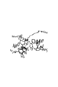 CCCCCCCCCCCCCCCCCN(C[C@H]1O[C@@H](n2cnc3c(=O)[nH]c(N)nc32)C(OC)C1OP(=O)(OC)OC)C(=O)CC1C(OC)[C@H](n2ccc(N)nc2=O)O[C@@H]1COC